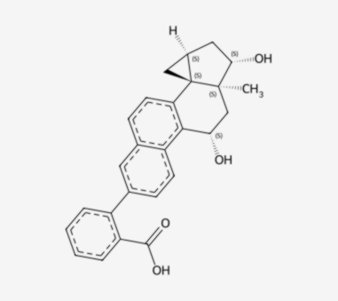 C[C@]12C[C@H](O)c3c(ccc4cc(-c5ccccc5C(=O)O)ccc34)[C@@]13C[C@H]3C[C@@H]2O